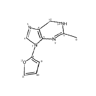 CC1=Nc2c(ncn2-c2ccco2)CN1